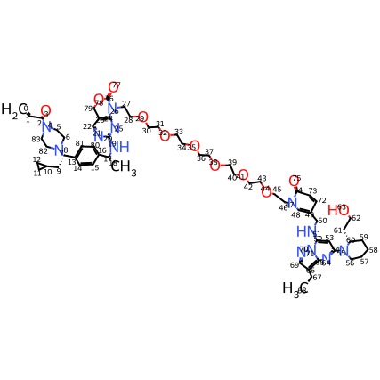 C=CC(=O)N1CCN([C@@H](CC2CC2)c2ccc([C@H](C)Nc3ncc4c(n3)N(CCOCCOCCOCCOCCOCCOCCn3cc(CNc5cc(N6CCCC[C@H]6CCO)nc6c(CC)cnn56)ccc3=O)C(=O)OC4)cc2)CC1